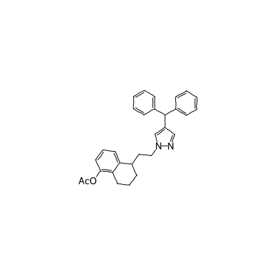 CC(=O)Oc1cccc2c1CCCC2CCn1cc(C(c2ccccc2)c2ccccc2)cn1